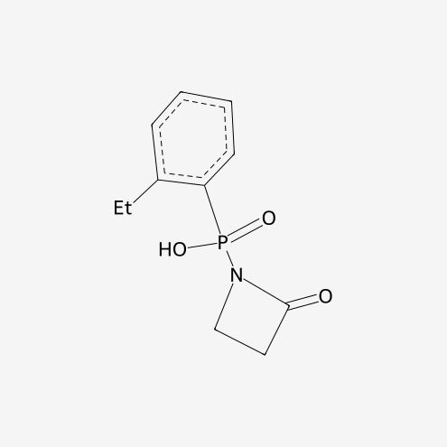 CCc1ccccc1P(=O)(O)N1CCC1=O